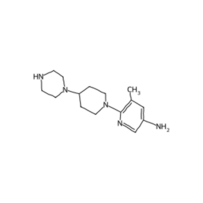 Cc1cc(N)cnc1N1CCC(N2CCNCC2)CC1